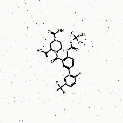 CC(C)(C)OC(=O)Nc1ccc(-c2cc(C(F)(F)F)ccc2F)cc1C(=O)N1CCN(C(=O)O)CC1C(=O)O